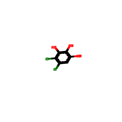 Oc1[c]c(Cl)c(Cl)c(O)c1O